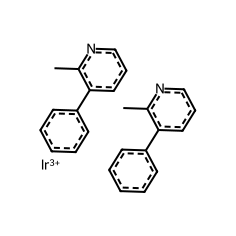 Cc1ncccc1-c1ccccc1.Cc1ncccc1-c1ccccc1.[Ir+3]